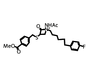 COC(=O)c1ccc(CSC2C[N+](CCCCCCc3ccc(F)cc3)(NC(C)=O)C2=O)cc1